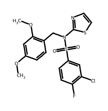 COc1ccc(CN(c2nccs2)S(=O)(=O)c2ccc(F)c(Cl)c2)c(OC)c1